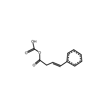 O=C(O)OC(=O)C/C=C/c1ccccc1